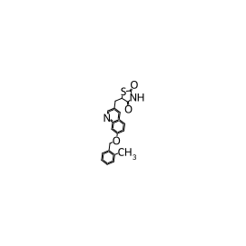 Cc1ccccc1COc1ccc2cc(CC3SC(=O)NC3=O)cnc2c1